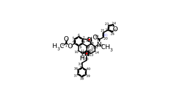 CC(=O)Oc1ccc2c3c1C[C@@H]1[C@@H]4CC[C@H](N(C)C(=O)/C=C/c5ccoc5)[C@H](O2)[C@]34CCN1CCc1ccccc1